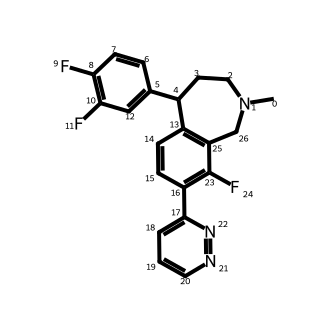 CN1CCC(c2ccc(F)c(F)c2)c2ccc(-c3cccnn3)c(F)c2C1